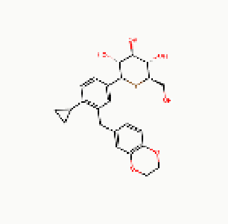 OC[C@H]1SC(c2ccc(C3CC3)c(Cc3ccc4c(c3)OCCO4)c2)[C@H](O)[C@@H](O)[C@@H]1O